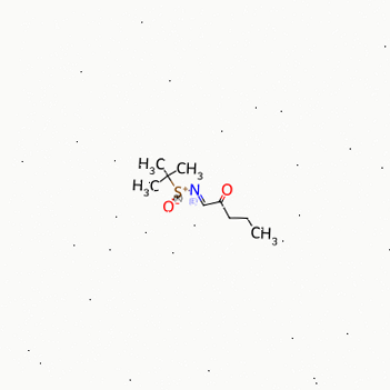 CCCC(=O)/C=N/[S@@+]([O-])C(C)(C)C